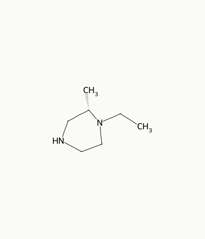 CCN1CCNC[C@@H]1C